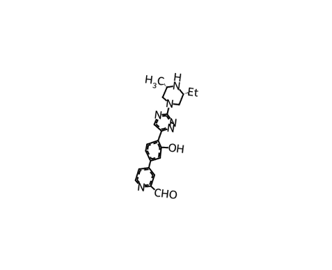 CC[C@@H]1CN(c2ncc(-c3ccc(-c4ccnc(C=O)c4)cc3O)nn2)C[C@H](C)N1